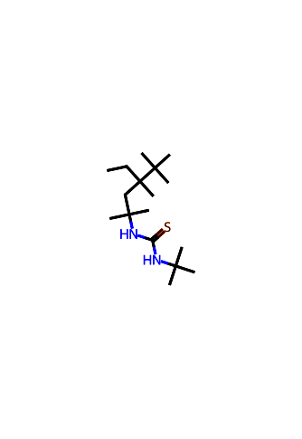 CCC(C)(CC(C)(C)NC(=S)NC(C)(C)C)C(C)(C)C